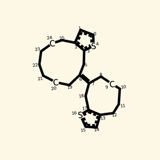 c1cc2c(s1)C/C(=C1\CCCCCc3ccsc3C1)CCCCCCC2